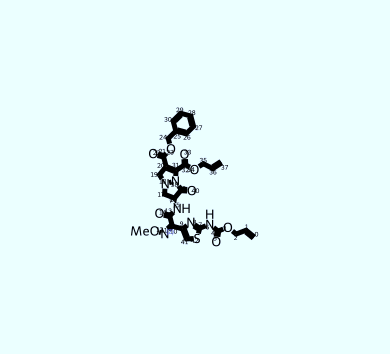 C=CCOC(=O)Nc1nc(/C(=N/OC)C(=O)N[C@@H]2CN3CC(C(=O)OCc4ccccc4)=C(C(=O)OCC=C)N3C2=O)cs1